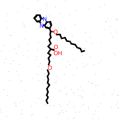 CCCCCCCCCCCCOCCCCCC(CCCCCC(OCCCCCCCCCCCC)c1ccc2nc3ccccc3nc2c1)C(=O)O